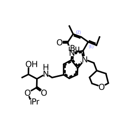 C/C=C(\C=C(\C)C(=O)C(C)CC)c1nc2cc(CNC(C(=O)OC(C)C)C(C)O)ccc2n1CC1CCOCC1